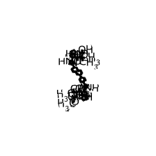 COC(=O)N[C@H](C(=O)N1[C@H](c2nc(-c3ccc(-c4ccc5cc(-c6c[nH]c([C@@H]7C[C@@H]8CCC[C@@H]8N7C(=O)[C@@H](NC(=O)O)C(C)C)n6)ccc5c4)cc3)c[nH]2)C[C@@H]2CCC[C@@H]21)C(C)C